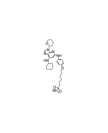 NOC(=O)CCCCCCOc1ccc(Nc2cc(NC3CCCCC3)c3ncn(C4CCCCO4)c3n2)cc1